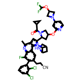 Cc1nc2c(F)c(-c3cccc(Cl)c3Cl)c(CCC#N)cc2c2c1cc(C1CC(Oc3cc(N4CC(OC(F)F)C4)ccn3)CN1C(=O)C1CC1)n2C1C2CNC1C2